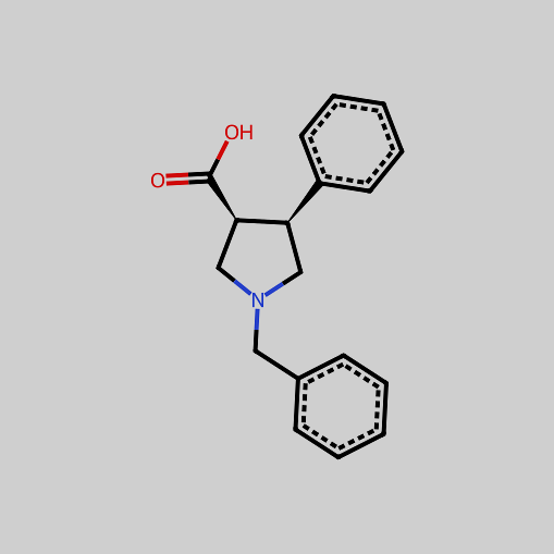 O=C(O)[C@@H]1CN(Cc2ccccc2)C[C@@H]1c1ccccc1